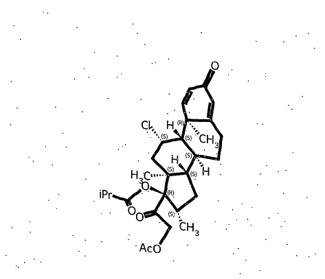 CC(=O)OCC(=O)[C@@]1(OC(=O)C(C)C)[C@@H](C)C[C@H]2[C@@H]3CCC4=CC(=O)C=C[C@]4(C)[C@H]3[C@@H](Cl)C[C@@]21C